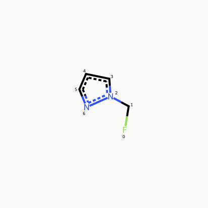 FCn1cc[c]n1